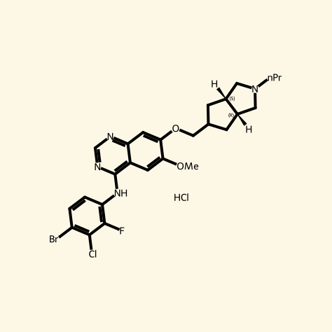 CCCN1C[C@H]2CC(COc3cc4ncnc(Nc5ccc(Br)c(Cl)c5F)c4cc3OC)C[C@H]2C1.Cl